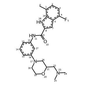 Cc1ccc(F)c2cc(C(=O)Nc3cccc(N4CCOC(CN(C)C)C4)c3)[nH]c12